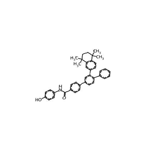 CC1(C)CCC(C)(C)c2cc(-c3cc(-c4ccc(C(=O)Nc5ccc(O)cc5)cc4)ccc3-c3ccccc3)ccc21